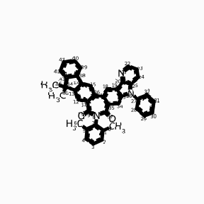 Cc1cccc(C)c1-n1c(=O)c2cc3c(cc2c2cc4c5ncccc5n(-c5ccccc5)c4cc2c1=O)-c1ccccc1C3(C)C